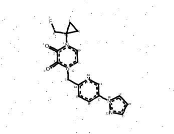 O=c1c(=O)n(C2(CF)CC2)ccn1Cc1ccc(-n2cccn2)cn1